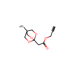 C#CCOC(=O)CC12OCC(CCC)(CO1)CO2